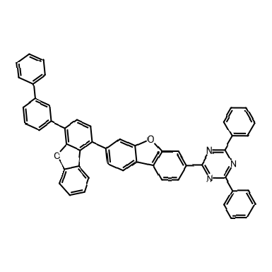 c1ccc(-c2cccc(-c3ccc(-c4ccc5c(c4)oc4cc(-c6nc(-c7ccccc7)nc(-c7ccccc7)n6)ccc45)c4c3oc3ccccc34)c2)cc1